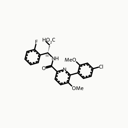 COc1cc(Cl)ccc1-c1nc(C(=O)N[C@@H](CC(=O)O)c2ccccc2F)ccc1OC